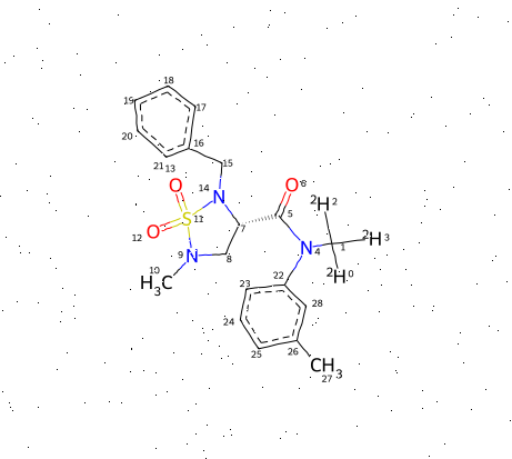 [2H]C([2H])([2H])N(C(=O)[C@@H]1CN(C)S(=O)(=O)N1Cc1ccccc1)c1cccc(C)c1